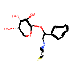 O[C@@H]1[C@@H](O)[C@@H](OC(CN=C=S)c2ccccc2)OC[C@@H]1O